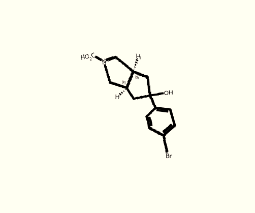 O=C(O)N1C[C@@H]2CC(O)(c3ccc(Br)cc3)C[C@@H]2C1